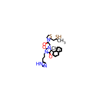 CC(S)CC1SCCN1C(=O)CN1C(=O)N(CCCc2cnc[nH]2)C(=O)C1(C)c1cccc2ccccc12